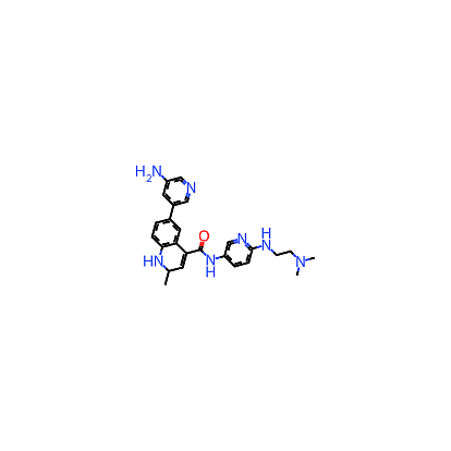 CC1C=C(C(=O)Nc2ccc(NCCN(C)C)nc2)c2cc(-c3cncc(N)c3)ccc2N1